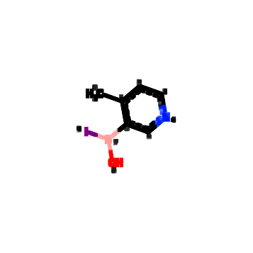 Cc1ccncc1B(O)I